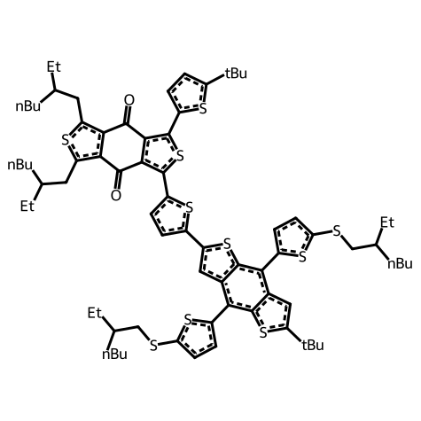 CCCCC(CC)CSc1ccc(-c2c3cc(C(C)(C)C)sc3c(-c3ccc(SCC(CC)CCCC)s3)c3cc(-c4ccc(-c5sc(-c6ccc(C(C)(C)C)s6)c6c5C(=O)c5c(CC(CC)CCCC)sc(CC(CC)CCCC)c5C6=O)s4)sc23)s1